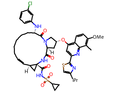 COc1ccc2c(O[C@@H]3C[C@H]4C(=O)N[C@]5(C(=O)NS(=O)(=O)C6CC6)C[C@H]5/C=C\CCCCC[C@H](Nc5cccc(Cl)c5)C(=O)N4C3)cc(-c3nc(C(C)C)cs3)nc2c1C